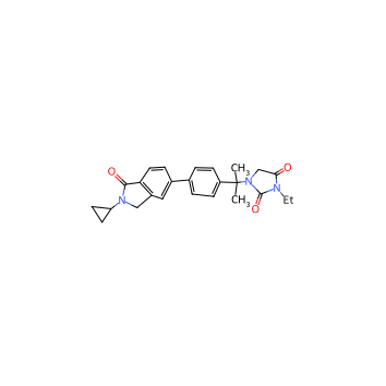 CCN1C(=O)CN(C(C)(C)c2ccc(-c3ccc4c(c3)CN(C3CC3)C4=O)cc2)C1=O